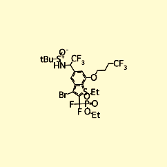 CCOP(=O)(OCC)C(F)(F)c1sc2c(OCCCC(F)(F)F)cc(C(N[S+]([O-])C(C)(C)C)C(F)(F)F)cc2c1Br